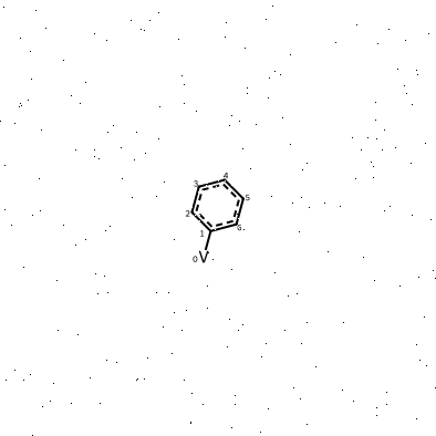 [V][c]1ccccc1